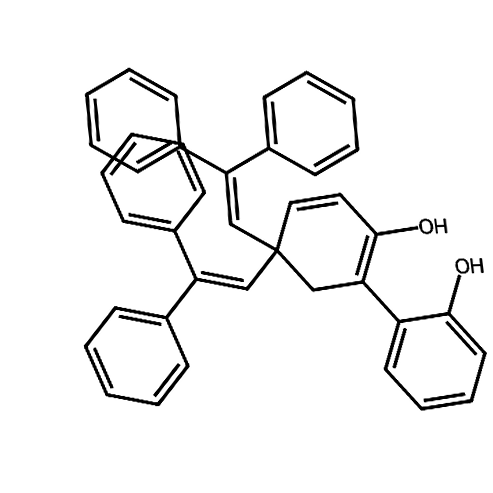 OC1=C(c2ccccc2O)CC(C=C(c2ccccc2)c2ccccc2)(C=C(c2ccccc2)c2ccccc2)C=C1